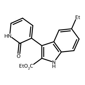 CCOC(=O)c1[nH]c2ccc(CC)cc2c1-c1ccc[nH]c1=O